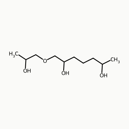 CC(O)CCCC(O)COCC(C)O